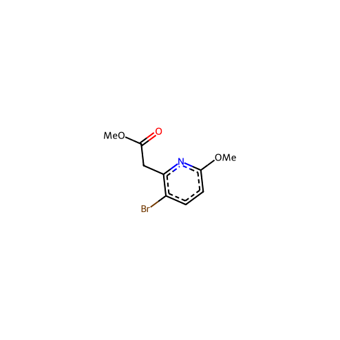 COC(=O)Cc1nc(OC)ccc1Br